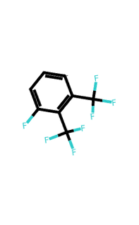 Fc1cc[c]c(C(F)(F)F)c1C(F)(F)F